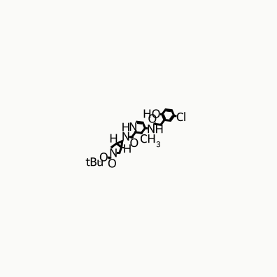 CC1C(C(=O)N[C@H]2[C@@H]3CN(C(=O)OC(C)(C)C)C[C@@H]32)=NC=CC1NC(=O)Cc1cc(Cl)ccc1O